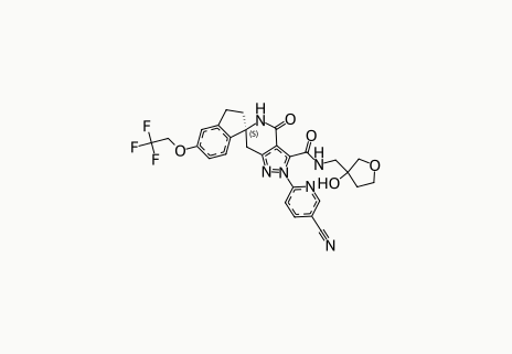 N#Cc1ccc(-n2nc3c(c2C(=O)NCC2(O)CCOC2)C(=O)N[C@@]2(CCc4cc(OCC(F)(F)F)ccc42)C3)nc1